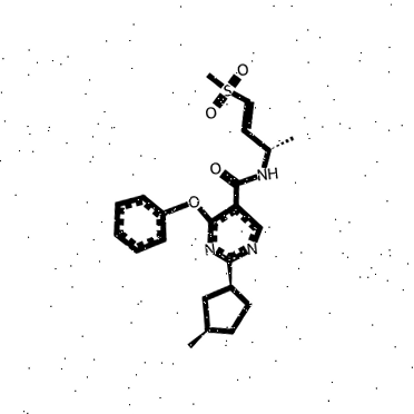 C[C@@H]1CC[C@H](c2ncc(C(=O)N[C@@H](C)/C=C/S(C)(=O)=O)c(Oc3ccccc3)n2)C1